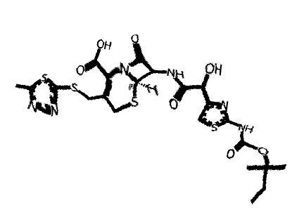 CCC(C)(C)OC(=O)Nc1nc(C(O)C(=O)NC2C(=O)N3C(C(=O)O)=C(CSc4nnc(C)s4)CS[C@H]23)cs1